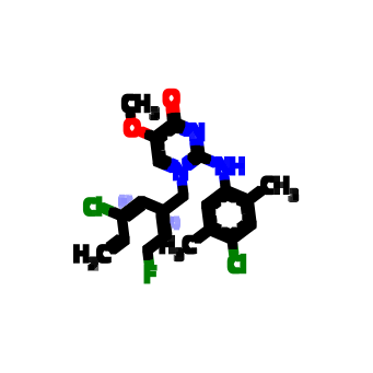 C=C/C(Cl)=C\C(=C/CF)Cn1cc(OC)c(=O)nc1Nc1cc(C)c(Cl)cc1C